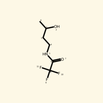 CC(O)CCNC(=O)C(F)(F)F